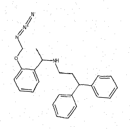 CC(NCCC(c1ccccc1)c1ccccc1)c1ccccc1OCN=[N+]=[N-]